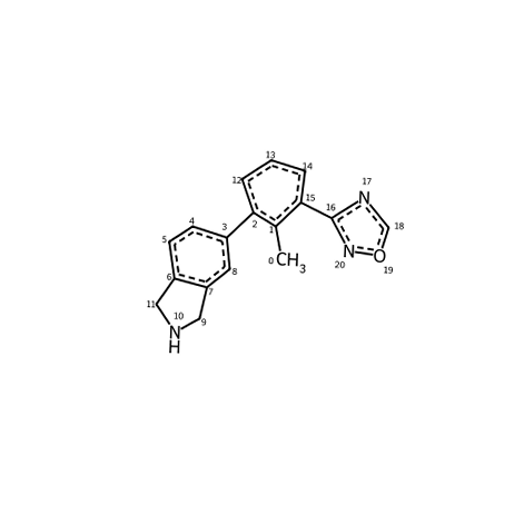 Cc1c(-c2ccc3c(c2)CNC3)cccc1-c1ncon1